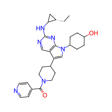 CC[C@H]1CC1Nc1ncc2c(C3CCN(C(=O)c4ccncc4)CC3)cn(C3CCC(O)CC3)c2n1